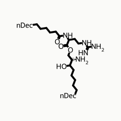 CCCCCCCCCCCCCCCC(=O)NC(CCNC(=N)N)C(=O)OC[C@H](N)C(O)CCCCCCCCCCCCCCC